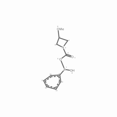 COC1CN(C(=O)OB(O)c2ccccc2)C1